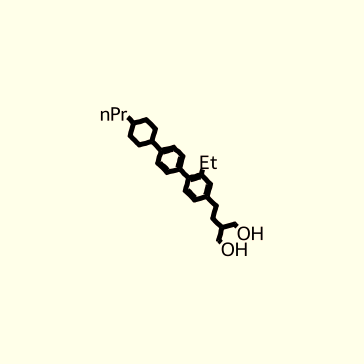 CCCC1CCC(c2ccc(-c3ccc(CCC(CO)CO)cc3CC)cc2)CC1